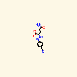 N#Cc1ccc(NNC(CCC(N)=O)C(=O)O)cc1